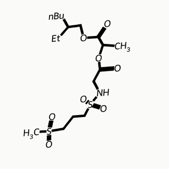 CCCCC(CC)COC(=O)C(C)OC(=O)CNS(=O)(=O)CCCS(C)(=O)=O